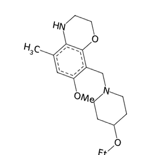 CCOC1CCN(Cc2c(OC)cc(C)c3c2OCCN3)CC1